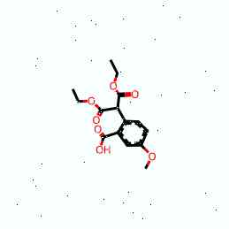 CCOC(=O)C(C(=O)OCC)c1ccc(OC)cc1C(=O)O